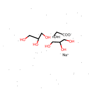 CCCCCCCCCCCC(=O)[O-].OCC(O)CO.OCC(O)CO.[Na+]